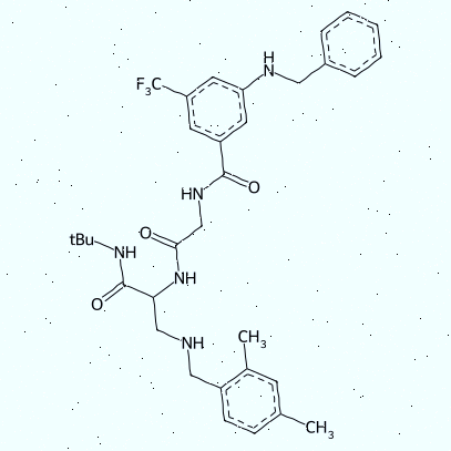 Cc1ccc(CNCC(NC(=O)CNC(=O)c2cc(NCc3ccccc3)cc(C(F)(F)F)c2)C(=O)NC(C)(C)C)c(C)c1